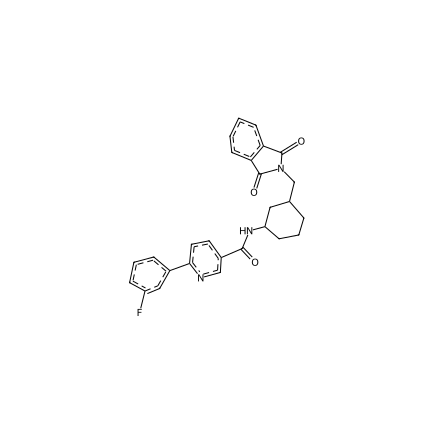 O=C(NC1CCCC(CN2C(=O)c3ccccc3C2=O)C1)c1ccc(-c2cccc(F)c2)nc1